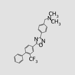 CN(C)Cc1ccc(-c2noc(-c3ccc(-c4ccccc4)c(C(F)(F)F)c3)n2)cc1